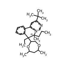 CCC[C@@]1(C)[n+]2cnc(C(C)(C)C)cc2-c2ccccc2C1(CC)C1COC(C)CC(C)O1